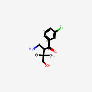 CC(C)(CO)C(CN)C(=O)c1cccc(Cl)c1